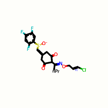 CCCC(=NOC/C=C/Cl)C1C(=O)CC(=C[S+]([O-])c2cc(F)c(F)cc2F)CC1=O